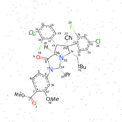 COC(=O)c1ccc(N2C(=O)[C@H]3[C@H](c4cccc(Cl)c4F)[C@@](C#N)(c4ccc(Cl)cc4F)[C@H](CC(C)(C)C)N3[C@@H]2C(C)C)cc1OC